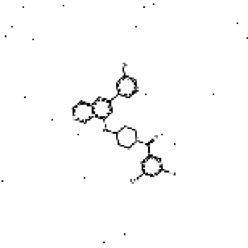 Cc1cc(C(=O)N2CCC(Nc3cc(-c4cccc(C#N)c4)cc4ccncc34)CC2)cc(Cl)n1